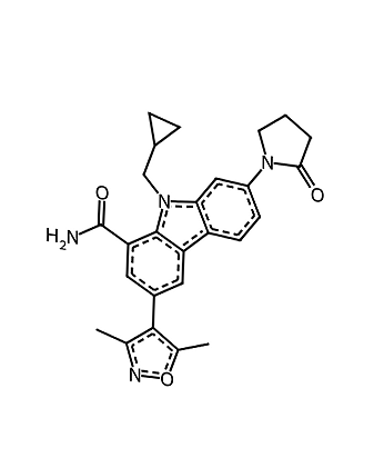 Cc1noc(C)c1-c1cc(C(N)=O)c2c(c1)c1ccc(N3CCCC3=O)cc1n2CC1CC1